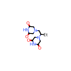 CCC(CN1CC(=O)NC(=O)C1)N1CC(=O)NC(=O)C1